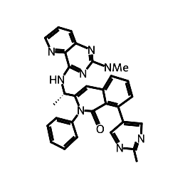 CNc1nc(N[C@@H](C)c2cc3cccc(-c4cnc(C)nc4)c3c(=O)n2-c2ccccc2)c2ncccc2n1